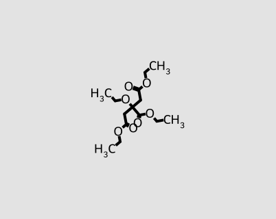 CCOC(=O)CC(CC(=O)OCC)(OCC)C(=O)OCC